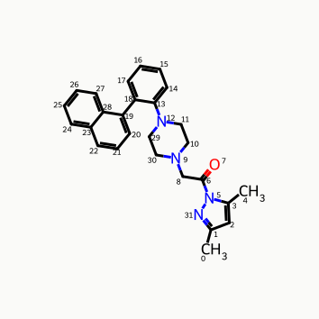 Cc1cc(C)n(C(=O)CN2CCN(c3ccccc3-c3cccc4ccccc34)CC2)n1